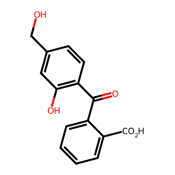 O=C(O)c1ccccc1C(=O)c1ccc(CO)cc1O